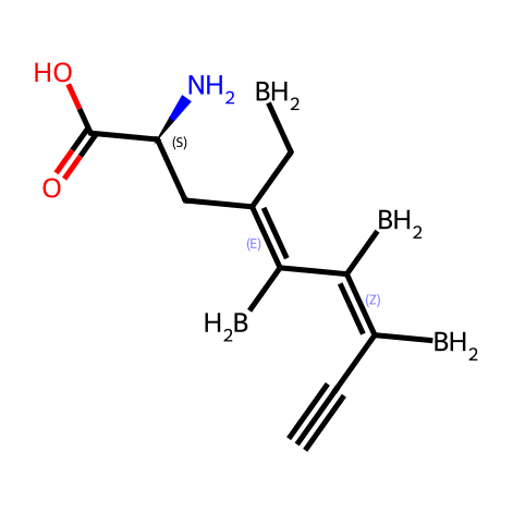 BC/C(C[C@H](N)C(=O)O)=C(B)\C(B)=C(\B)C#C